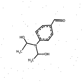 CC(O)N(c1ccc(C=O)cc1)C(C)O